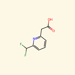 O=C(O)Cc1cccc(C(F)F)n1